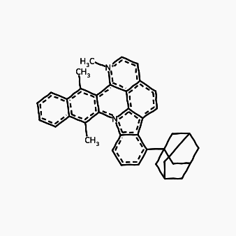 Cc1c2ccccc2c(C)c2c1c1c3c(ccc4c5c(C67CC8CC(CC(C8)C6)C7)cccc5n2c43)cc[n+]1C